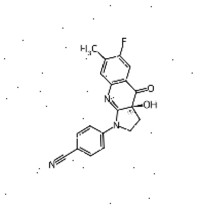 Cc1cc2c(cc1F)C(=O)[C@]1(O)CCN(c3ccc(C#N)cc3)C1=N2